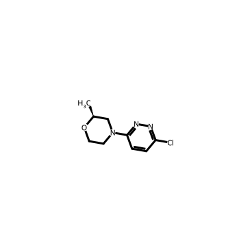 C[C@H]1CN(c2ccc(Cl)nn2)CCO1